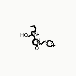 C/C=C\c1cc(CO)c(-c2ccc(=O)n(CCN3CCN(C)CC3)n2)n1C